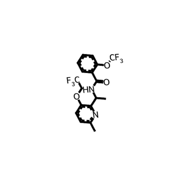 Cc1ccc(OCC(F)(F)F)c(C(C)NC(=O)c2ccccc2OC(F)(F)F)n1